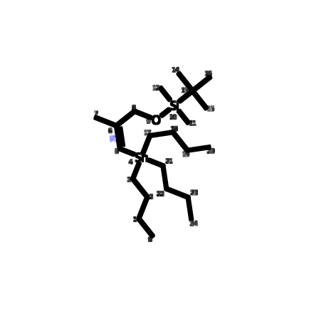 CCC[CH2][Sn](/[CH]=C(/C)CO[Si](C)(C)C(C)(C)C)([CH2]CCC)[CH2]CCC